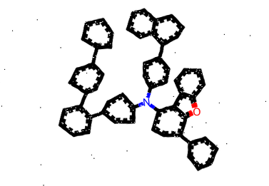 c1ccc(-c2ccc(-c3ccccc3-c3ccc(N(c4ccc(-c5cccc6ccccc56)cc4)c4ccc(-c5ccccc5)c5oc6ccccc6c45)cc3)cc2)cc1